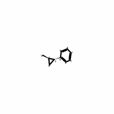 C[C@@H]1C[C@H]1c1ccccc1